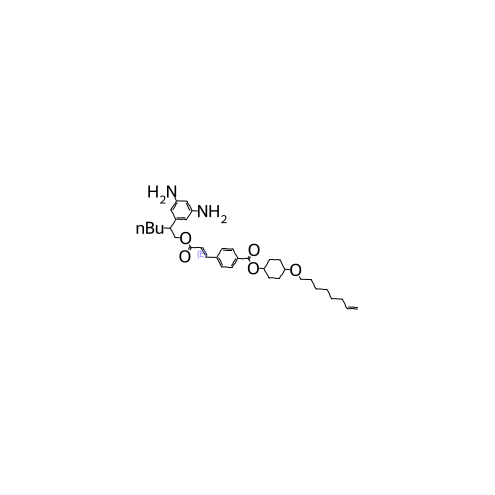 C=CCCCCCCOC1CCC(OC(=O)c2ccc(/C=C/C(=O)OCC(CCCC)c3cc(N)cc(N)c3)cc2)CC1